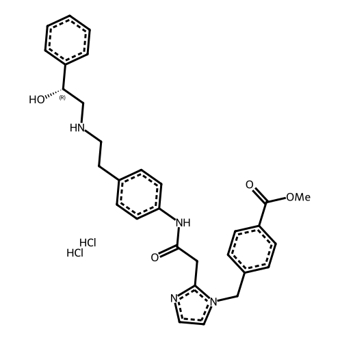 COC(=O)c1ccc(Cn2ccnc2CC(=O)Nc2ccc(CCNC[C@H](O)c3ccccc3)cc2)cc1.Cl.Cl